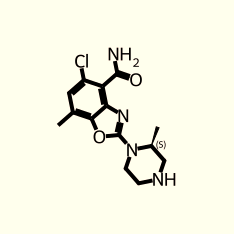 Cc1cc(Cl)c(C(N)=O)c2nc(N3CCNC[C@@H]3C)oc12